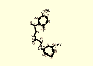 CC(C)COc1ccc(F)c(C(C)CCC(C)COc2cccc(C(C)C)c2)c1